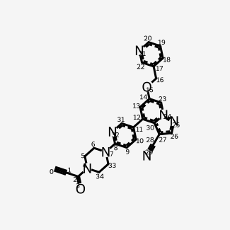 C#CC(=O)N1CCN(c2ccc(-c3cc(OCc4cccnc4)cn4ncc(C#N)c34)cn2)CC1